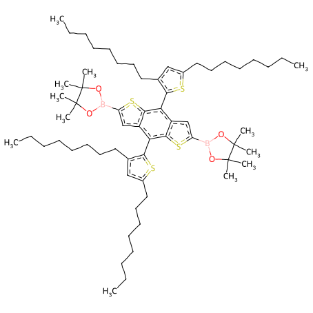 CCCCCCCCc1cc(CCCCCCCC)c(-c2c3cc(B4OC(C)(C)C(C)(C)O4)sc3c(-c3sc(CCCCCCCC)cc3CCCCCCCC)c3cc(B4OC(C)(C)C(C)(C)O4)sc23)s1